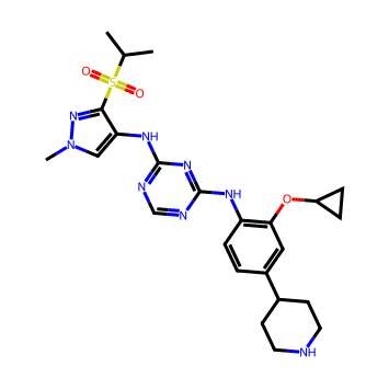 CC(C)S(=O)(=O)c1nn(C)cc1Nc1ncnc(Nc2ccc(C3CCNCC3)cc2OC2CC2)n1